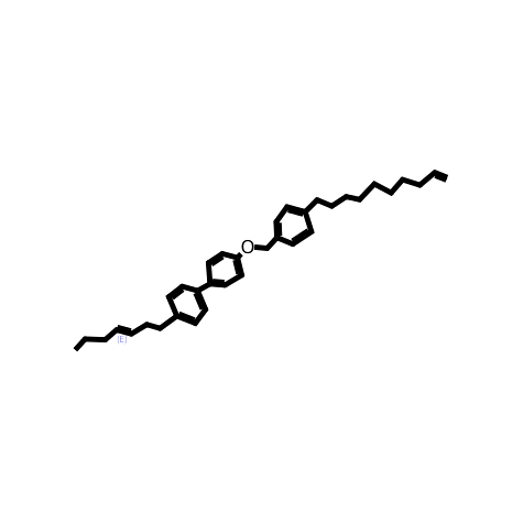 C=CCCCCCCCCc1ccc(COc2ccc(-c3ccc(CC/C=C/CCC)cc3)cc2)cc1